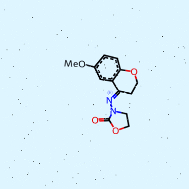 COc1ccc2c(c1)/C(=N/N1CCOC1=O)CCO2